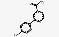 NC(=O)c1ccnc(-c2ccc(O)cc2)c1